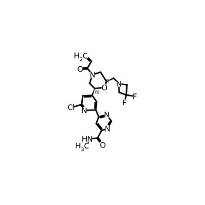 C=CC(=O)N1C[C@@H](CN2CC(F)(F)C2)O[C@@H](c2cc(Cl)nc(-c3cc(C(=O)NC)ncn3)c2)C1